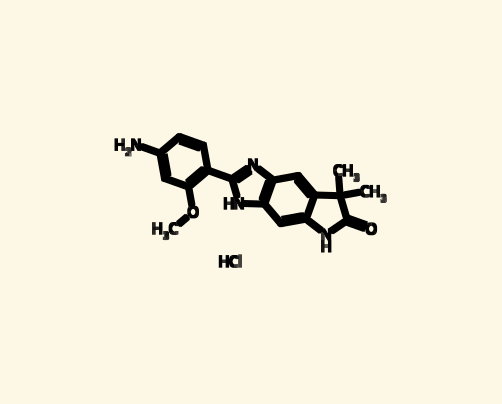 COc1cc(N)ccc1-c1nc2cc3c(cc2[nH]1)NC(=O)C3(C)C.Cl